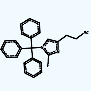 CC(=O)CCc1cn(C(c2ccccc2)(c2ccccc2)c2ccccc2)c(F)n1